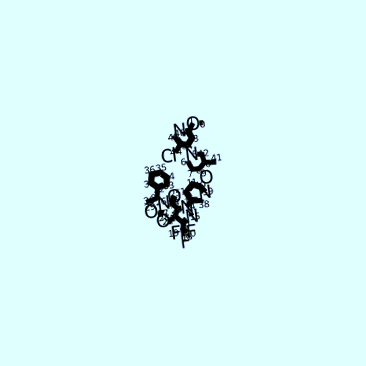 COc1cc(N2CCC(Oc3ccc(N4N=C(C(F)(F)F)C(C)C4C(=O)N4C(=O)OCC4c4ccccc4)cn3)C(C)C2)c(Cl)cn1